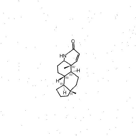 C[C@@]12CCC[C@H]1[C@@H]1CCC3NC(=O)C=C[C@]3(C)[C@H]1CC2